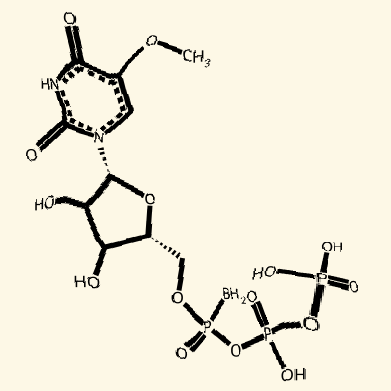 BP(=O)(OC[C@H]1O[C@@H](n2cc(OC)c(=O)[nH]c2=O)C(O)C1O)OP(=O)(O)OP(=O)(O)O